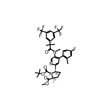 COC(=O)[C@]1(C)CC[C@H](c2cc(-c3ccc(F)cc3C)c(N(C)C(=O)C(C)(C)c3cc(C(F)(F)F)cc(C(F)(F)F)c3)cn2)N1C(=O)OC(C)(C)C